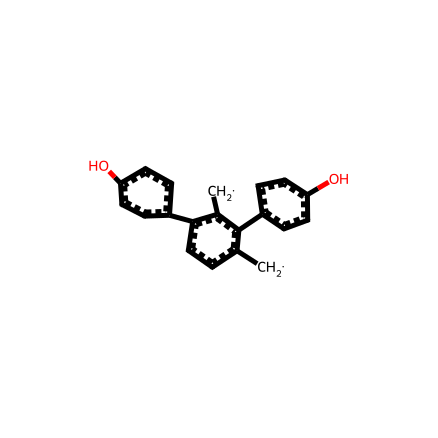 [CH2]c1ccc(-c2ccc(O)cc2)c([CH2])c1-c1ccc(O)cc1